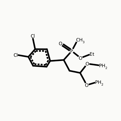 CCOP(C)(=O)C(CC(OP)OP)c1ccc(Cl)c(Cl)c1